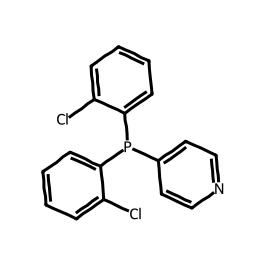 Clc1ccccc1P(c1ccncc1)c1ccccc1Cl